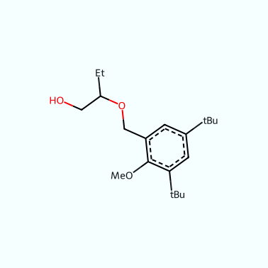 CCC(CO)OCc1cc(C(C)(C)C)cc(C(C)(C)C)c1OC